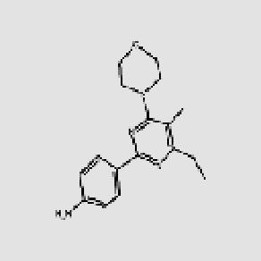 CCc1nc(-c2ccc(N)cc2)nc(N2CCOCC2)c1C